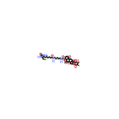 CC1=C(C)C(=O)OC([C@](C)(O)[C@]2(O)CC[C@@]3(O)C4C[C@H]5O[C@]56[C@@H](OC(=O)NCCCCCNC(=O)CCCCC5SCC7NC(=O)NC75)C=CC(=O)[C@]6(C)C4CC[C@]23C)C1